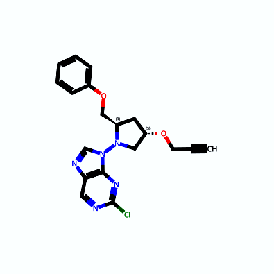 C#CCO[C@H]1C[C@H](COc2ccccc2)N(n2cnc3cnc(Cl)nc32)C1